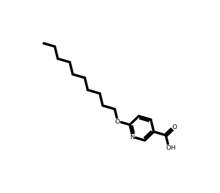 CCCCCCCCCCOc1ccc(C(=O)O)cn1